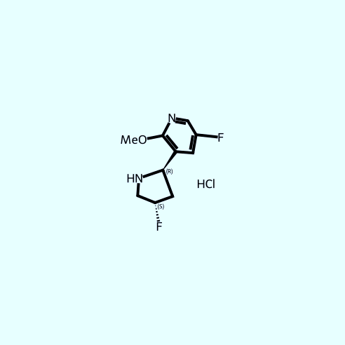 COc1ncc(F)cc1[C@H]1C[C@H](F)CN1.Cl